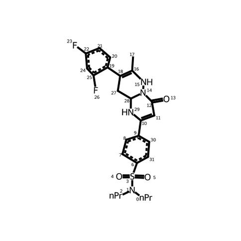 CCCN(CCC)S(=O)(=O)c1ccc(C2=CC(=O)N3NC(C)=C(c4ccc(F)cc4F)CC3N2)cc1